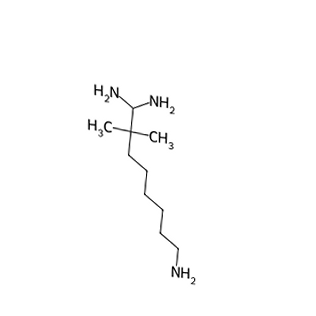 CC(C)(CCCCCCN)C(N)N